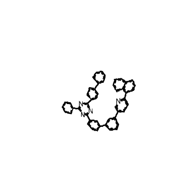 c1ccc(-c2ccc(-c3nc(-c4ccccc4)nc(-c4cccc(-c5cccc(-c6ccc(-c7cccc8ccccc78)nc6)c5)c4)n3)cc2)cc1